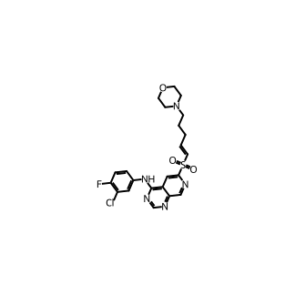 O=S(=O)(C=CCCCN1CCOCC1)c1cc2c(Nc3ccc(F)c(Cl)c3)ncnc2cn1